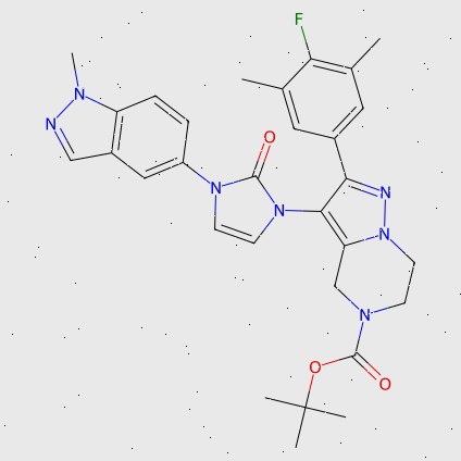 Cc1cc(-c2nn3c(c2-n2ccn(-c4ccc5c(cnn5C)c4)c2=O)CN(C(=O)OC(C)(C)C)CC3)cc(C)c1F